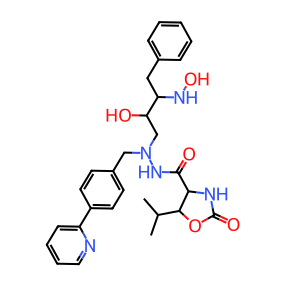 CC(C)C1OC(=O)NC1C(=O)NN(Cc1ccc(-c2ccccn2)cc1)CC(O)C(Cc1ccccc1)NO